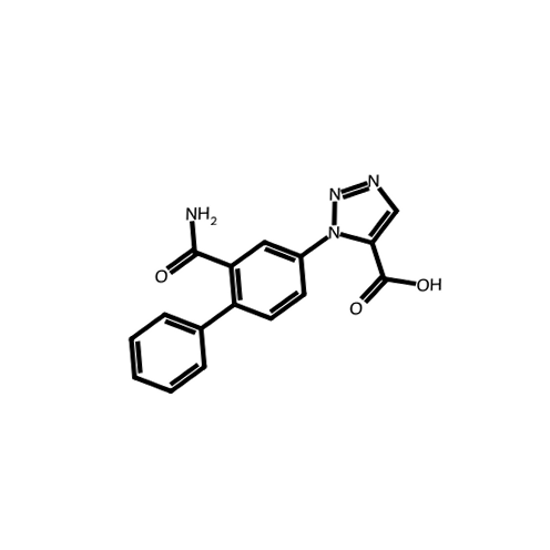 NC(=O)c1cc(-n2nncc2C(=O)O)ccc1-c1ccccc1